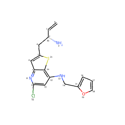 C=C[C@H](N)Cc1cc2nc(Cl)cc(NCc3ccco3)c2s1